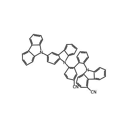 N#Cc1ccc(-n2c3ccccc3c3cc(-n4c5ccccc5c5ccccc54)ccc32)c(-c2ccccc2-n2c3ccccc3c3c(C#N)cccc32)c1